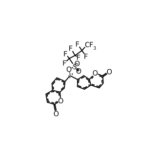 O=c1ccc2ccc([I+](OS(=O)(=O)C(F)(F)C(F)(F)C(F)(F)C(F)(F)F)c3ccc4ccc(=O)oc4c3)cc2o1